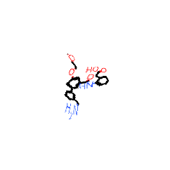 COCCOc1cc(C(=O)Nc2ccccc2CC(=O)O)cc(-c2cccc(CN)c2)c1